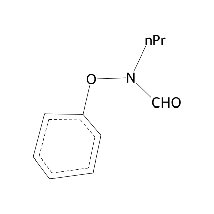 [CH2]CCN(C=O)Oc1ccccc1